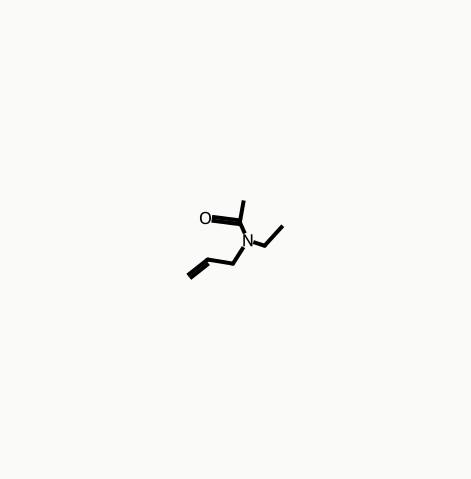 C=CCN(CC)C(C)=O